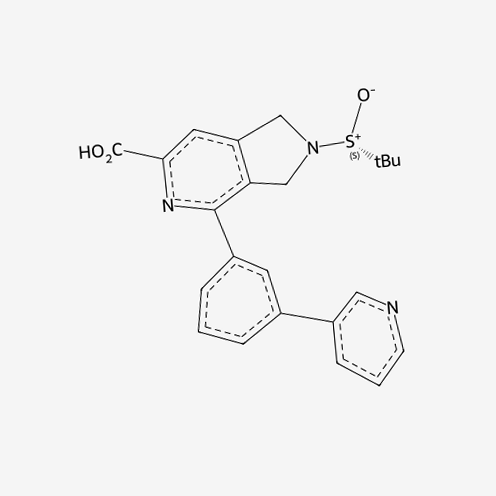 CC(C)(C)[S@@+]([O-])N1Cc2cc(C(=O)O)nc(-c3cccc(-c4cccnc4)c3)c2C1